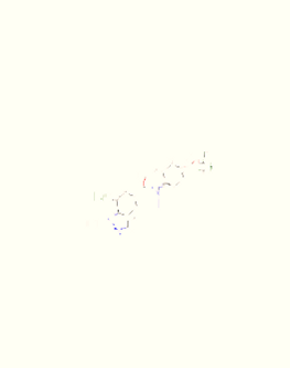 CC(C)n1ncc2cc(C(=O)Nc3ccc(OC(F)(F)Cl)cc3)cc(Br)c21